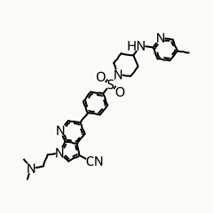 Cc1ccc(NC2CCN(S(=O)(=O)c3ccc(-c4cnc5c(c4)c(C#N)cn5CCN(C)C)cc3)CC2)nc1